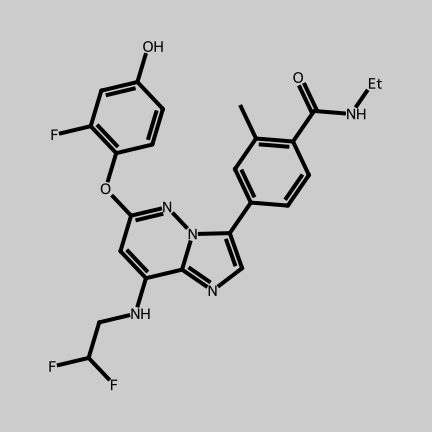 CCNC(=O)c1ccc(-c2cnc3c(NCC(F)F)cc(Oc4ccc(O)cc4F)nn23)cc1C